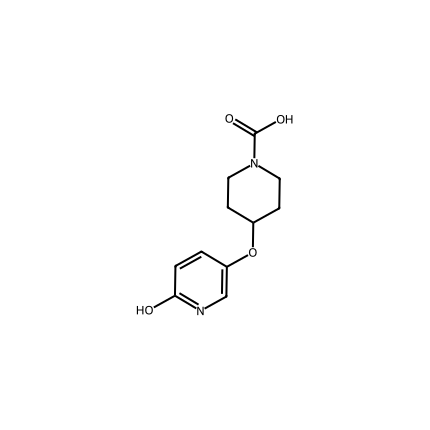 O=C(O)N1CCC(Oc2ccc(O)nc2)CC1